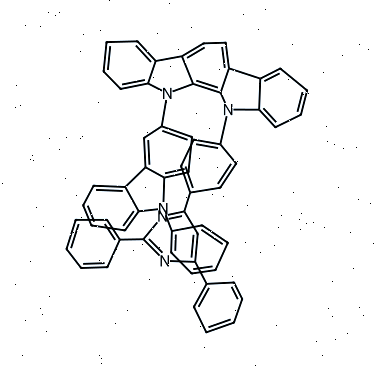 c1ccc(-c2cc(-c3ccc(-n4c5ccccc5c5ccc6c7ccccc7n(-c7ccc8c(c7)c7ccccc7n8-c7ccccc7)c6c54)cc3)nc(-c3ccccc3)n2)cc1